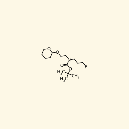 CC(C)(C)OC(=O)N(CCCF)CCOC1CCCCO1